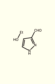 CCO.O=Cc1cc[nH]n1